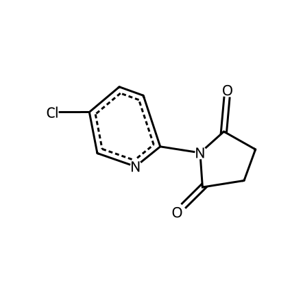 O=C1CCC(=O)N1c1ccc(Cl)cn1